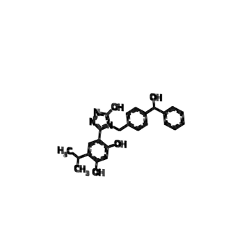 CC(C)c1cc(-c2nnc(O)n2Cc2ccc(C(O)c3ccccc3)cc2)c(O)cc1O